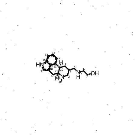 CN1CC(CNCCO)C[C@@H]2c3cccc4[nH]cc(c34)C[C@H]21